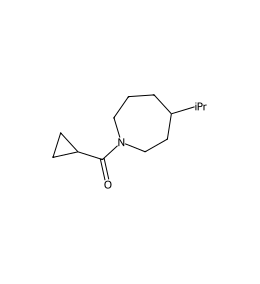 CC(C)C1CCCN(C(=O)C2CC2)CC1